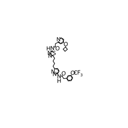 O=C(Cc1cccc(OC(F)(F)F)c1)Nc1ccc(CCCCc2nnc(NC(=O)Cc3cc(OC4CCC4)ccn3)s2)nn1